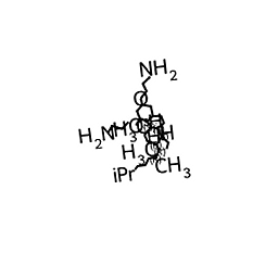 CC(C)CCC[C@@H](C)[C@H]1CC[C@H]2[C@@H]3CCC4CC(OCCCN)CC(OCCCN)[C@]4(C)[C@H]3CC[C@]12C